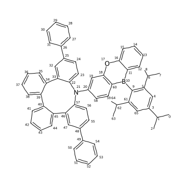 CC(C)c1cc(C(C)C)c(B2c3ccccc3Oc3cc(-n4c5ccc(-c6ccccc6)cc5c5ccccc5c5ccccc5c5cc(-c6ccccc6)ccc54)ccc32)c(C(C)C)c1